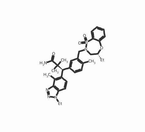 CC[C@@H]1CN(Cc2cc([C@@H](c3ccc4c(nnn4CC)c3C)C(C)(C)C(N)=O)ccc2C)S(=O)(=O)c2ccccc2O1